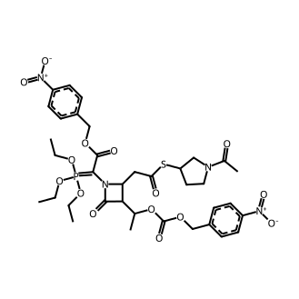 CCOP(OCC)(OCC)=C(C(=O)OCc1ccc([N+](=O)[O-])cc1)N1C(=O)C(C(C)OC(=O)OCc2ccc([N+](=O)[O-])cc2)C1CC(=O)SC1CCN(C(C)=O)C1